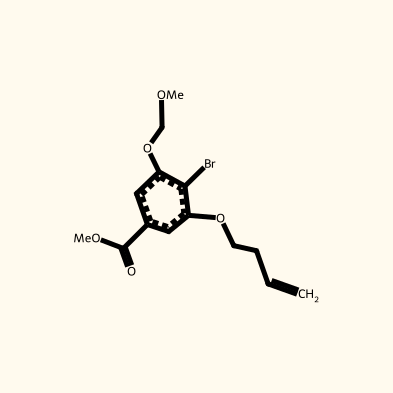 C=CCCOc1cc(C(=O)OC)cc(OCOC)c1Br